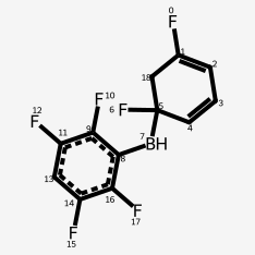 FC1=CC=CC(F)(Bc2c(F)c(F)cc(F)c2F)C1